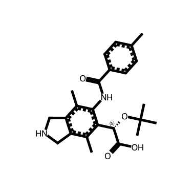 Cc1ccc(C(=O)Nc2c(C)c3c(c(C)c2[C@H](OC(C)(C)C)C(=O)O)CNC3)cc1